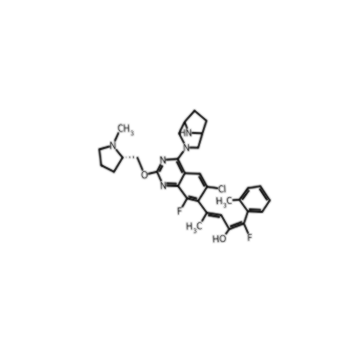 C/C(=C\C(O)=C(\F)c1ccccc1C)c1c(Cl)cc2c(N3CC4CCC(C3)N4)nc(OC[C@@H]3CCCN3C)nc2c1F